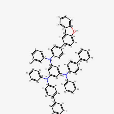 Cc1cccc(N(c2ccc(-c3ccc4oc5ccccc5c4c3)cc2)c2cc(N(c3ccccc3)c3ccc(-c4ccccc4)cc3)cc(N(c3ccccc3)c3ccc(-c4ccccc4)cc3)c2)c1